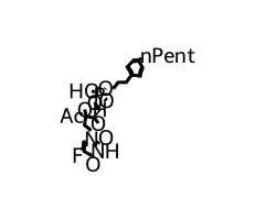 CCCCCc1ccc(CCCOP(=O)(O)OC[C@H]2O[C@@H](n3cc(F)c(=O)[nH]c3=O)C[C@@]2(O)C(C)=O)cc1